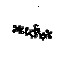 CC(C)n1nc(-c2cccc(S(C)(=O)=O)c2)c2c1CC(CC(=O)NC1(C)CS(=O)(=O)C1)CC2